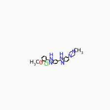 COc1cccc(-c2nc3ccc(-c4nc5ccc(N6CCN(C)CC6)cc5[nH]4)cc3[nH]2)c1Cl